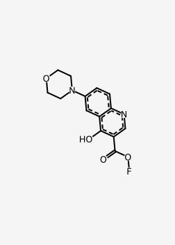 O=C(OF)c1cnc2ccc(N3CCOCC3)cc2c1O